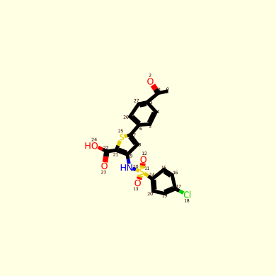 CC(=O)c1ccc(-c2cc(NS(=O)(=O)c3ccc(Cl)cc3)c(C(=O)O)s2)cc1